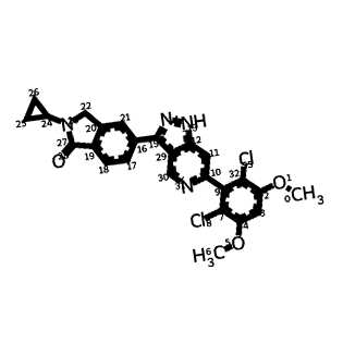 COc1cc(OC)c(Cl)c(-c2cc3[nH]nc(-c4ccc5c(c4)CN(C4CC4)C5=O)c3cn2)c1Cl